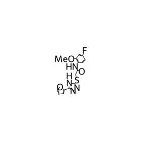 COc1cc(F)ccc1NC(=O)CSc1nnc(-c2ccco2)[nH]1